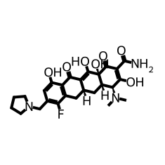 CN(C)[C@@H]1C(O)=C(C(N)=O)C(=O)[C@@]2(O)C(O)=C3C(=O)c4c(O)cc(CN5CCCC5)c(F)c4C[C@H]3C[C@@H]12